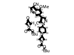 CC(C)(C)OC(=O)N1CC(=O)C1.COc1cc(-c2cnn(C3CCN(C4CN(C(=O)OC(C)(C)C)C4)CC3)c2C)cn2ncc(C#N)c12